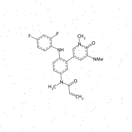 C=CC(=O)N(C)c1ccc(Nc2ccc(F)cc2F)c(-c2cc(NC)c(=O)n(C)c2)c1